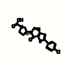 O=C(O)N1CC[C@H](n2cnc3cc(-c4ccc(Cl)cc4)sc3c2=O)C1